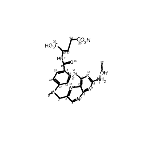 CN(Cc1cnc2nc(N)nc(N)c2n1)c1ccc(C(=O)NC(CCC(=O)O)C(=O)O)cc1.CO